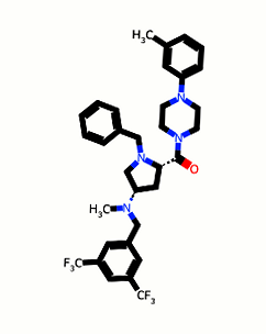 Cc1cccc(N2CCN(C(=O)[C@@H]3C[C@H](N(C)Cc4cc(C(F)(F)F)cc(C(F)(F)F)c4)CN3Cc3ccccc3)CC2)c1